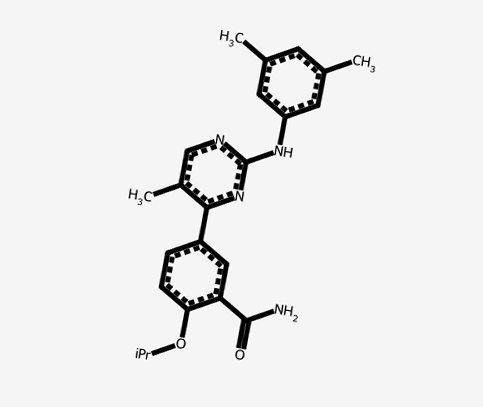 Cc1cc(C)cc(Nc2ncc(C)c(-c3ccc(OC(C)C)c(C(N)=O)c3)n2)c1